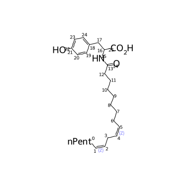 CCCCC/C=C\C/C=C\CCCCCCCC(=O)NC(Cc1ccc(O)cc1)C(=O)O